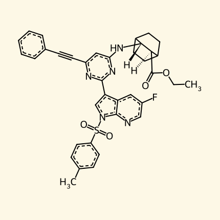 CCOC(=O)[C@@H]1C2CCC(CC2)[C@H]1Nc1cc(C#Cc2ccccc2)nc(-c2cn(S(=O)(=O)c3ccc(C)cc3)c3ncc(F)cc23)n1